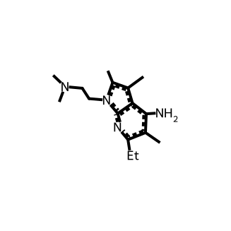 CCc1nc2c(c(C)c(C)n2CCN(C)C)c(N)c1C